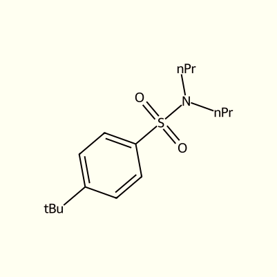 CCCN(CCC)S(=O)(=O)c1ccc(C(C)(C)C)cc1